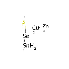 S=[Se].[Cu].[SnH2].[Zn]